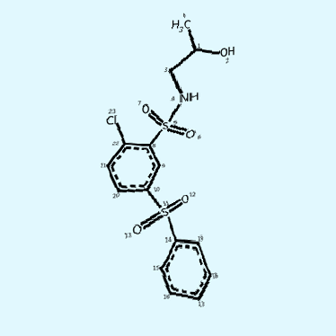 CC(O)CNS(=O)(=O)c1cc(S(=O)(=O)c2ccccc2)ccc1Cl